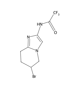 O=C(Nc1cn2c(n1)CCC(Br)C2)C(F)(F)F